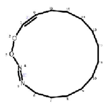 C1=C\OO/N=N/CCCCCCCCCCC/1